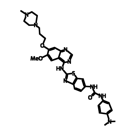 COc1cc2c(Nc3nc4ccc(NC(=O)Nc5ccc(N(C)C)cc5)cc4s3)ncnc2cc1OCCCN1CCN(C)CC1